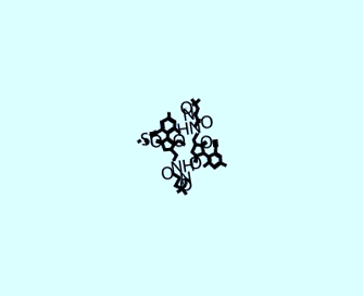 C#Cc1cc(C)cc(C)c1C1C(=O)CC(CCNC(=O)C2=NOC(C)(C)C2)C1=O.COC1=C(c2c(C)cc(C)cc2C#C[Si](C)(C)C)C(=O)CC1CCNC(=O)C1=NOC(C)(C)C1